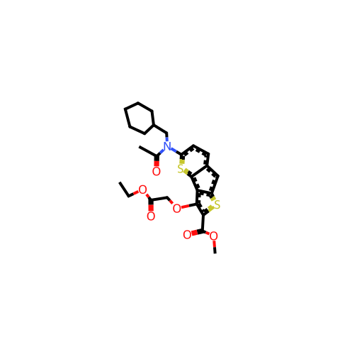 CCOC(=O)COc1c(C(=O)OC)sc2cc3ccc(N(CC4CCCCC4)C(C)=O)sc-3c12